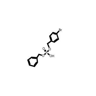 O=P(O)(OCc1ccccc1)OCc1ccc(Br)cc1